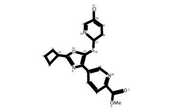 COC(=O)c1ccc(-c2nc(C3CCC3)oc2SC2CC=C(Cl)C=N2)cn1